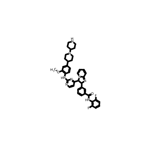 COc1cc(C2CCN(C3CCNCC3)CC2)ccc1Nc1nccc(C2C(c3cccc(C(=O)Nc4c(F)cccc4F)c3)N=C3C=CC=CN32)n1